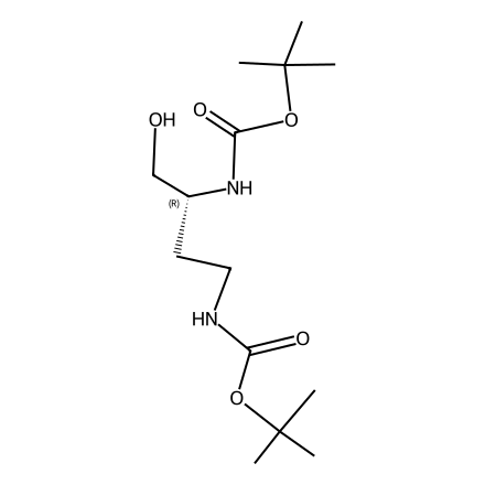 CC(C)(C)OC(=O)NCC[C@H](CO)NC(=O)OC(C)(C)C